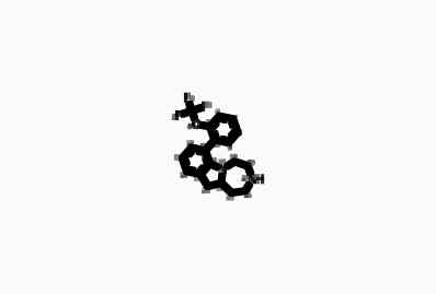 FC(F)(F)Oc1ccccc1-c1cccc2c1N1CCNCCC1C2